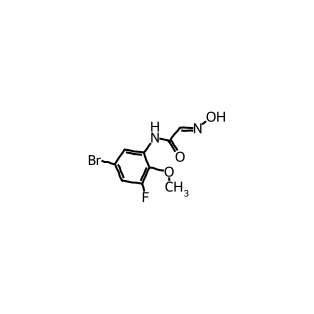 COc1c(F)cc(Br)cc1NC(=O)C=NO